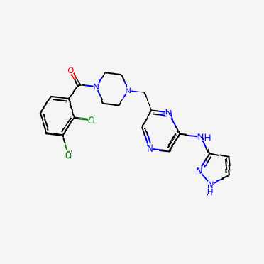 O=C(c1cccc(Cl)c1Cl)N1CCN(Cc2cncc(Nc3cc[nH]n3)n2)CC1